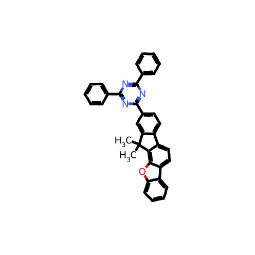 CC1(C)c2cc(-c3nc(-c4ccccc4)nc(-c4ccccc4)n3)ccc2-c2ccc3c(oc4ccccc43)c21